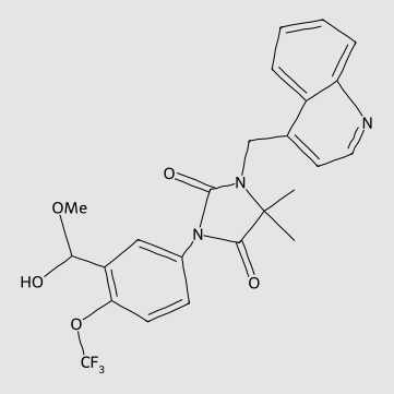 COC(O)c1cc(N2C(=O)N(Cc3ccnc4ccccc34)C(C)(C)C2=O)ccc1OC(F)(F)F